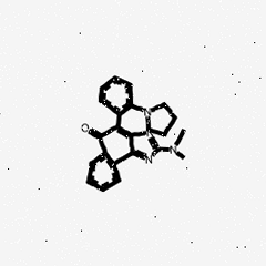 CN(C)C1=NC2=C(c3ccccc3N3CCCC3)C(=O)c3ccccc3C2=N1